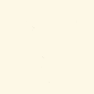 CC(C)C(=O)Nc1ccc(OC(F)(F)F)cc1C1=CCN(C(=O)OC(C)(C)C)CC1